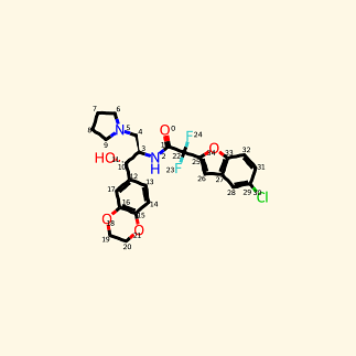 O=C(N[C@H](CN1CCCC1)[C@@H](O)c1ccc2c(c1)OCCO2)C(F)(F)c1cc2cc(Cl)ccc2o1